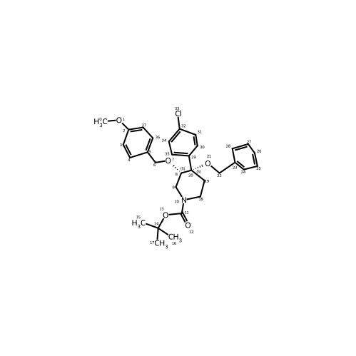 COc1ccc(CO[C@H]2CN(C(=O)OC(C)(C)C)CC[C@]2(OCc2ccccc2)c2ccc(Cl)cc2)cc1